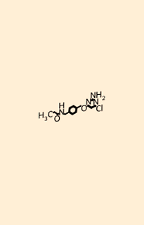 CCC(=O)NCc1ccc(COc2cc(Cl)nc(N)n2)cc1